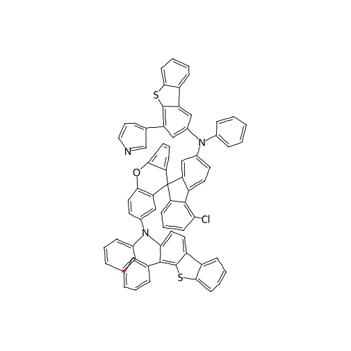 Clc1cccc2c1-c1ccc(N(c3ccccc3)c3cc(-c4cccnc4)c4sc5ccccc5c4c3)cc1C21c2ccccc2Oc2ccc(N(c3ccccc3)c3ccc4c(sc5ccccc54)c3-c3ccccc3)cc21